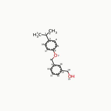 CC(C)c1ccc(OCc2cccc(CO)c2)cc1